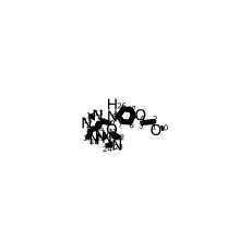 COCCOC1CCC(NC(=O)c2ncnc3cnn(-n4ccnc4)c23)CC1